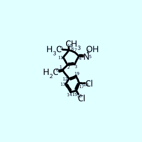 C=C(C1=C/C(=N/O)CC(C)(C)C1)c1ccc(Cl)c(Cl)c1